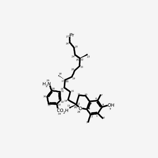 Cc1c(C)c2c(c(C)c1O)CC[C@@](C)(CCC[C@H](C)CCC[C@H](C)CCCC(C)C)O2.Nc1ccc(C(=O)O)cc1